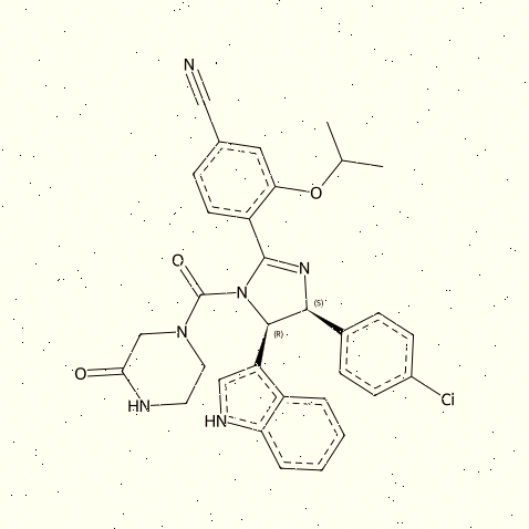 CC(C)Oc1cc(C#N)ccc1C1=N[C@@H](c2ccc(Cl)cc2)[C@@H](c2c[nH]c3ccccc23)N1C(=O)N1CCNC(=O)C1